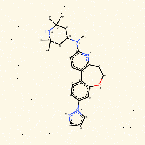 CN(c1ccc2c(n1)CCOc1cc(-n3cccn3)ccc1-2)C1CC(C)(C)NC(C)(C)C1